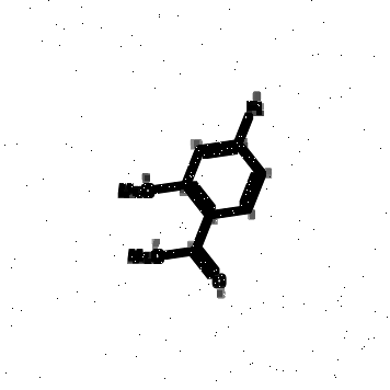 CCc1ccc(C(=O)OC)c(OC)c1